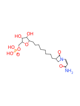 NC(=O)/C=C\N1CC(CCCCCCCCC2OC(COP(=O)(O)O)C(O)C2O)C1=O